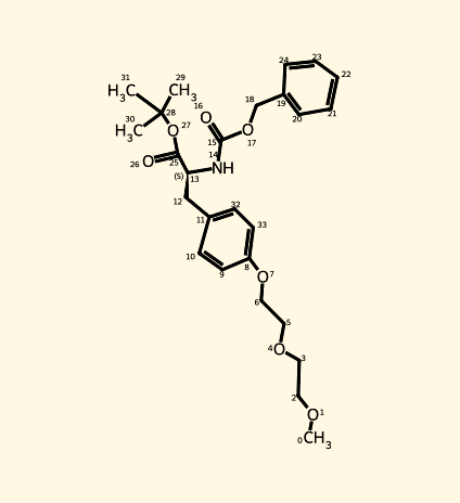 COCCOCCOc1ccc(C[C@H](NC(=O)OCc2ccccc2)C(=O)OC(C)(C)C)cc1